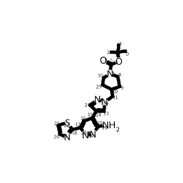 CC(C)(C)OC(=O)N1CCC(Cn2cc(-c3cc(-c4nccs4)nnc3N)cn2)CC1